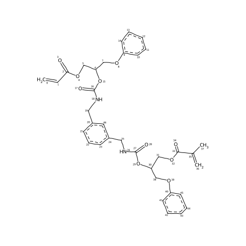 C=CC(=O)OCC(COc1ccccc1)OC(=O)NCc1cccc(CNC(=O)OC(COC(=O)C(=C)C)COc2ccccc2)c1